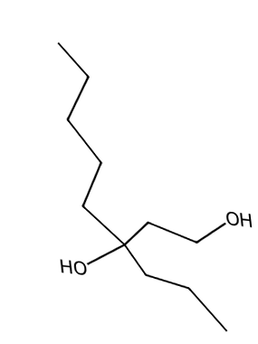 CCCCCC(O)(CCC)CCO